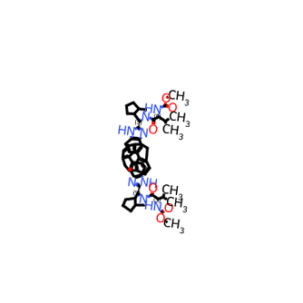 COC(=O)N[C@H](C(=O)N1CC2CCCC2[C@H]1c1nc2cc(-c3cc4ccc3CCc3ccc(c(-c5ccc6[nH]c([C@@H]7C8CCCC8CN7C(=O)[C@@H](NC(=O)OC)C(C)C)nc6c5)c3)CC4)ccc2[nH]1)C(C)C